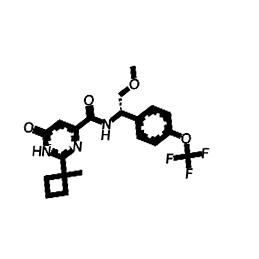 COC[C@@H](NC(=O)c1cc(=O)[nH]c(C2(C)CCC2)n1)c1ccc(OC(F)(F)F)cc1